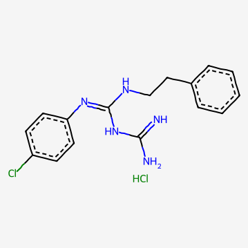 Cl.N=C(N)NC(=Nc1ccc(Cl)cc1)NCCc1ccccc1